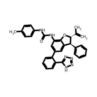 C=C(C)[C@H]1Oc2c(NC(=O)Nc3ccc(C)cc3)cc(-c3ccccc3-c3nnn[nH]3)cc2[C@@H]1c1ccccc1